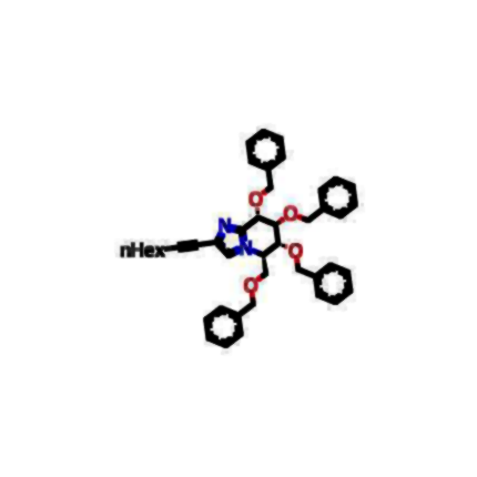 CCCCCCC#Cc1cn2c(n1)[C@H](OCc1ccccc1)[C@@H](OCc1ccccc1)[C@H](OCc1ccccc1)[C@H]2COCc1ccccc1